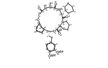 COc1ccc(CC[C@H]2OC(=O)[C@@H]3CCCCN3C(=O)[C@@H](C3CCCCC3)NC(=O)[C@H](C)NC(=O)COc3cccc2c3)cc1OC